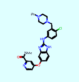 CNC(=O)c1cc(Oc2ccc3[nH]c(Nc4ccc(Cl)c(CN5CCN(C(C)C)CC5)c4)nc3c2)ccn1